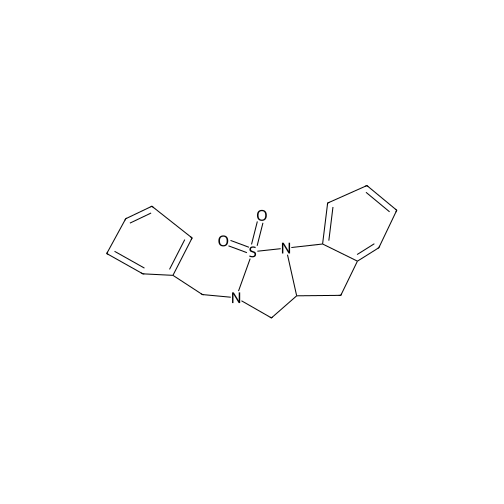 O=S1(=O)N(Cc2ccccc2)CC2Cc3ccccc3N21